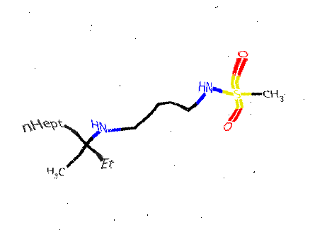 CCCCCCCC(C)(CC)NCCCNS(C)(=O)=O